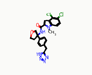 Cn1c(C(=O)NC2(c3ccc(Cc4nnn[nH]4)cc3)CCOC2)cc2c(Cl)c(Cl)ccc21